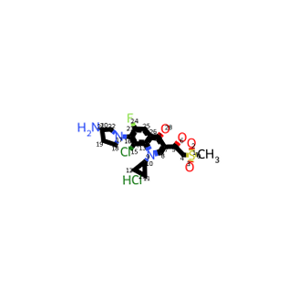 CS(=O)(=O)CC(=O)c1cn(C2CC2)c2c(Cl)c(N3CC[C@@H](N)C3)c(F)cc2c1=O.Cl